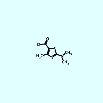 Cc1nc(N(C)C)sc1C(=O)Cl